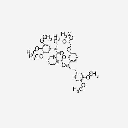 CC[C@H](C(=O)N1CCCC[C@H]1C(=O)O[C@H](CCc1ccc(OC)c(OC)c1)c1cccc(OCC(=O)OC)c1)c1cc(OC)c(OC)c(OC)c1